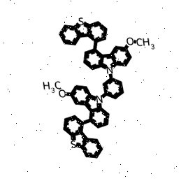 COc1ccc2c(c1)c1c(-c3cccc4sc5ccccc5c34)cccc1n2-c1cccc(-n2c3ccc(OC)cc3c3c(-c4cccc5sc6ccccc6c45)cccc32)c1